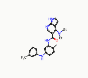 CCN(CC)c1c(C(=O)Nc2cc(Nc3cccc(C(F)(F)F)c3)ccc2C)cnc2[nH]ccc12